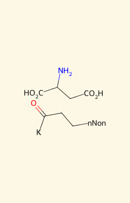 CCCCCCCCCCC[C](=O)[K].NC(CC(=O)O)C(=O)O